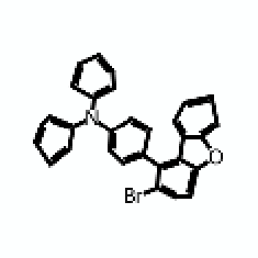 Brc1ccc2oc3ccccc3c2c1-c1ccc(N(c2ccccc2)c2ccccc2)cc1